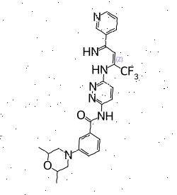 CC1CN(c2cccc(C(=O)Nc3ccc(N/C(=C\C(=N)c4cccnc4)C(F)(F)F)nn3)c2)CC(C)O1